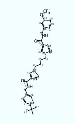 CC(F)(F)c1ccc(CNC(=O)c2cn(CCCCn3cc(C(=O)NCc4cccc(OC(F)(F)F)c4)nn3)nn2)cn1